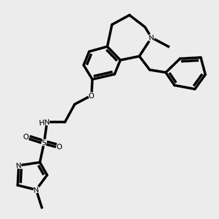 CN1CCCc2ccc(OCCNS(=O)(=O)c3cn(C)cn3)cc2C1Cc1ccccc1